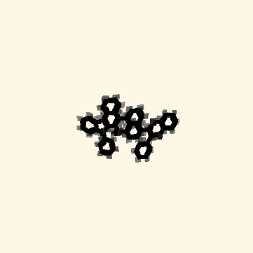 C1=CC(c2nc3ccccc3nc2-c2ccc(Nc3c(-c4ccccc4)c4ccccc4c4c5ccccc5n(-c5ccccc5)c34)cc2)=CCC1